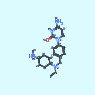 CCN(Cc1ccc(-n2ccc(N)nc2=O)cc1)C1CCC(NC)CC1